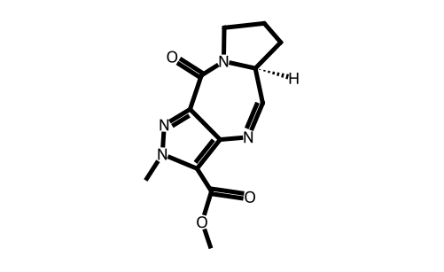 COC(=O)c1c2c(nn1C)C(=O)N1CCC[C@H]1C=N2